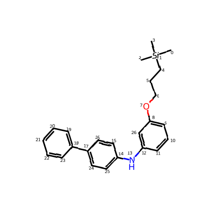 C[Si](C)(C)CCCOc1cccc(Nc2ccc(-c3ccccc3)cc2)c1